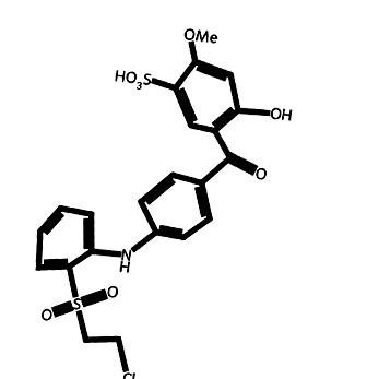 COc1cc(O)c(C(=O)c2ccc(Nc3ccccc3S(=O)(=O)CCCl)cc2)cc1S(=O)(=O)O